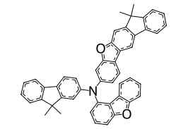 CC1(C)c2ccccc2-c2ccc(N(c3ccc4c(c3)oc3cc5c(cc34)-c3ccccc3C5(C)C)c3cccc4oc5ccccc5c34)cc21